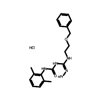 CCCN=C(NCCOCc1ccccc1)NC(=O)Nc1c(C)cccc1C.Cl